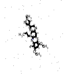 CCCn1/c(=N/c2c(F)c(OC)cc(OC)c2F)ccc2ncc(-c3cnn(C)c3)nc21